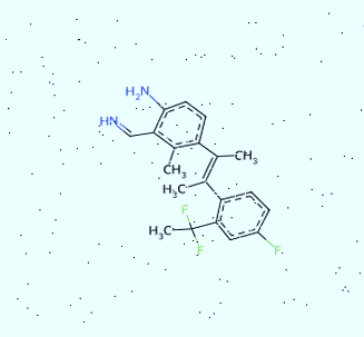 C/C(=C(/C)c1ccc(N)c(C=N)c1C)c1ccc(F)cc1C(C)(F)F